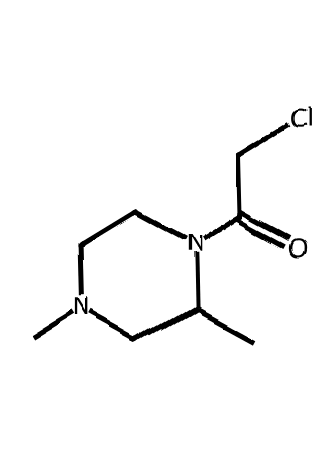 CC1CN(C)CCN1C(=O)CCl